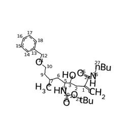 C=C(CC(O)C(CC(C)CCOCc1ccccc1)NC(=O)OC(C)(C)C)C(=O)NCCCC